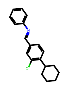 Clc1cc(C=Nc2ccccc2)ccc1C1CCCCC1